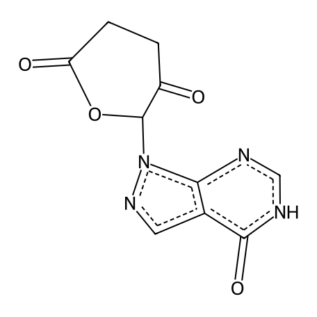 O=C1CCC(=O)C(n2ncc3c(=O)[nH]cnc32)O1